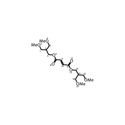 COCC(COC)COC(=O)/C=C/C(=O)OCC(COC)COC